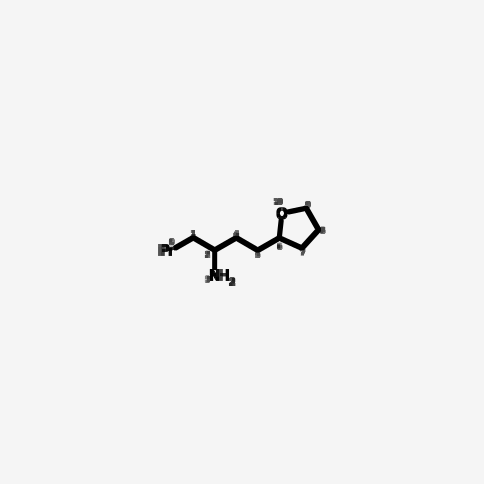 CC(C)CC(N)CCC1CCCO1